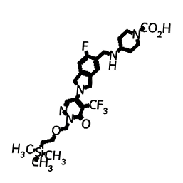 C[Si](C)(C)CCOCn1ncc(N2Cc3cc(F)c(CNC4CCN(C(=O)O)CC4)cc3C2)c(C(F)(F)F)c1=O